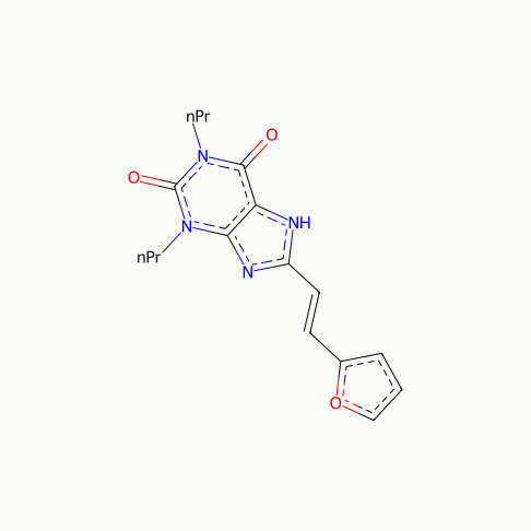 CCCn1c(=O)c2[nH]c(C=Cc3ccco3)nc2n(CCC)c1=O